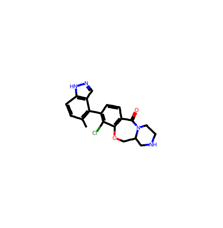 Cc1ccc2[nH]ncc2c1-c1ccc2c(c1Cl)OCC1CNCCN1C2=O